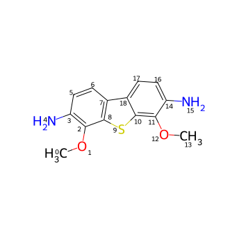 COc1c(N)ccc2c1sc1c(OC)c(N)ccc12